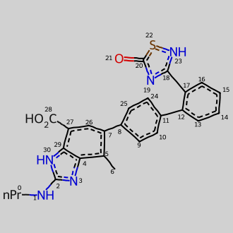 CCCNc1nc2c(C)c(-c3ccc(-c4ccccc4-c4nc(=O)s[nH]4)cc3)cc(C(=O)O)c2[nH]1